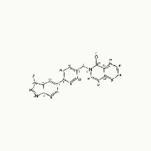 CN1C=NC2C=CC(c3ccc(Cn4cnc5cccnc5c4=O)cc3)=CC21